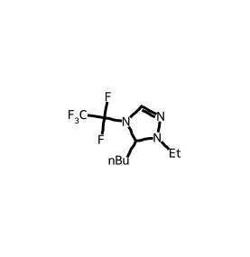 CCCCC1N(CC)N=CN1C(F)(F)C(F)(F)F